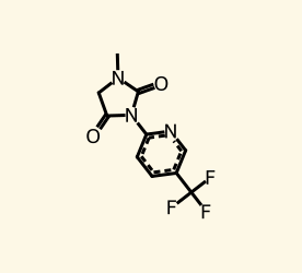 CN1CC(=O)N(c2ccc(C(F)(F)F)cn2)C1=O